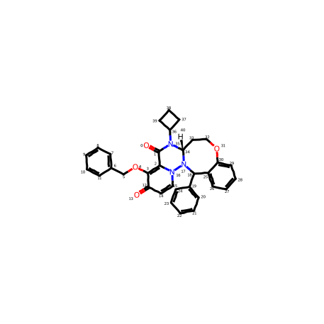 O=C1c2c(OCc3ccccc3)c(=O)ccn2N2C(c3ccccc3)c3ccccc3OCC[C@H]2N1C1CCC1